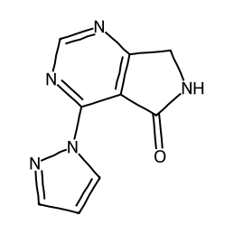 O=C1NCc2ncnc(-n3cccn3)c21